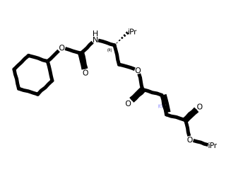 CC(C)OC(=O)/C=C/C(=O)OC[C@H](NC(=O)OC1CCCCC1)C(C)C